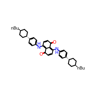 CCCC[C@H]1CC[C@H](c2ccc(NC3=C4C(=O)C=CC(Nc5ccc([C@H]6CC[C@H](CCCC)CC6)cc5)=C4C(=O)C=C3)cc2)CC1